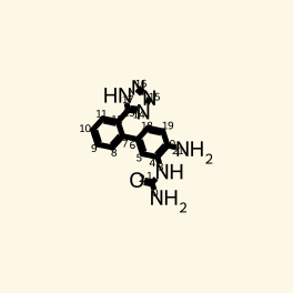 NC(=O)Nc1cc(-c2ccccc2-c2nnn[nH]2)ccc1N